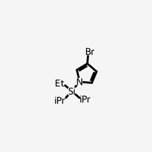 CC[Si](C(C)C)(C(C)C)n1ccc(Br)c1